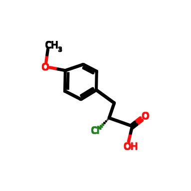 COc1ccc(C[C@@H](Cl)C(=O)O)cc1